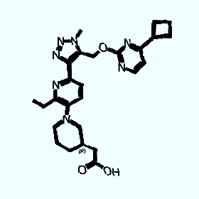 CCc1nc(-c2nnn(C)c2COc2nccc(C3CCC3)n2)ccc1N1CCC[C@H](CC(=O)O)C1